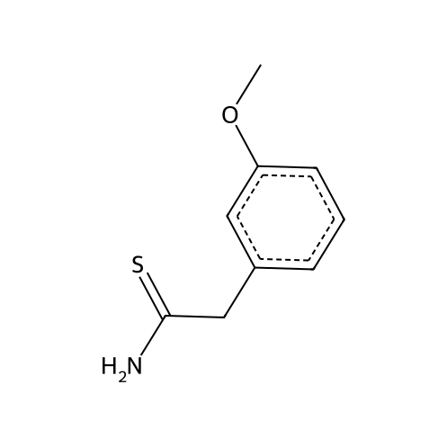 COc1cccc(CC(N)=S)c1